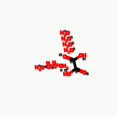 O.O.O.O.O.O.O.O.O=C(O)C(=O)O